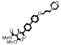 CNC(=O)C(C(=O)OC)N(C)C(=O)c1ccc(-c2ccc(OCCCN3CCOCC3)cc2)cc1